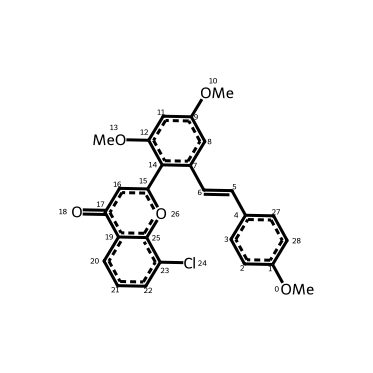 COc1ccc(/C=C/c2cc(OC)cc(OC)c2-c2cc(=O)c3cccc(Cl)c3o2)cc1